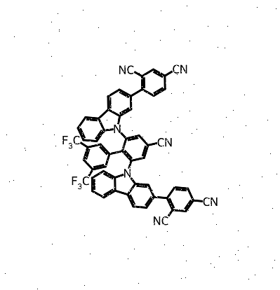 N#Cc1ccc(-c2ccc3c4ccccc4n(-c4cc(C#N)cc(-n5c6ccccc6c6ccc(-c7ccc(C#N)cc7C#N)cc65)c4-c4cc(C(F)(F)F)cc(C(F)(F)F)c4)c3c2)c(C#N)c1